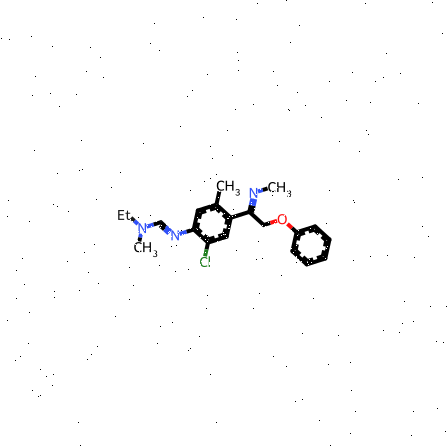 CCN(C)C=Nc1cc(C)c(C(COc2ccccc2)=NC)cc1Cl